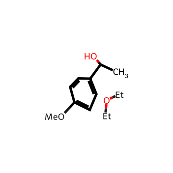 CCOCC.COc1ccc(C(C)O)cc1